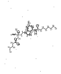 C#CC(CCn1cnc2c(NC(=O)CCCCCCC)nc(F)nc21)(COC(=O)CCCC)OC